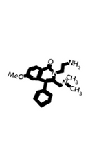 COc1ccc2c(=O)n(CCN)c(CN(C)C)c(-c3ccccc3)c2c1